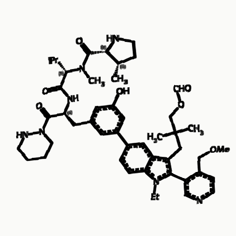 CCn1c(-c2cnccc2COC)c(CC(C)(C)COC=O)c2cc(-c3cc(O)cc(C[C@H](NC(=O)[C@H](C(C)C)N(C)C(=O)[C@@H]4NCC[C@@H]4C)C(=O)N4CCCCN4)c3)ccc21